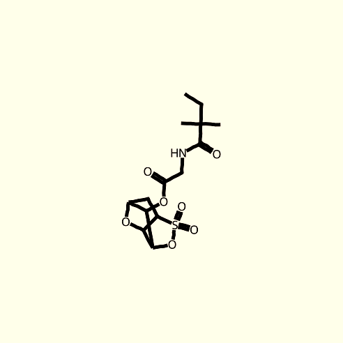 CCC(C)(C)C(=O)NCC(=O)OC1C2CC3C(O2)C1OS3(=O)=O